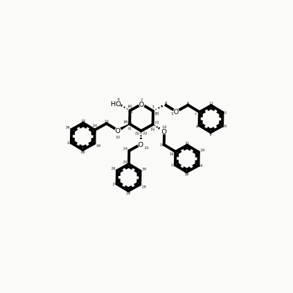 O[C@@H]1O[C@H](COCc2ccccc2)[C@H](OCc2ccccc2)[C@H](OCc2ccccc2)[C@H]1OCc1ccccc1